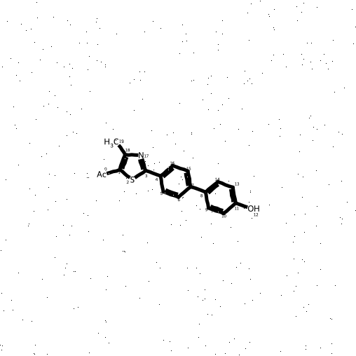 CC(=O)c1sc(-c2ccc(-c3ccc(O)cc3)cc2)nc1C